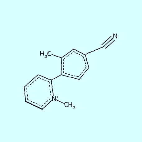 Cc1cc(C#N)ccc1-c1cccc[n+]1C